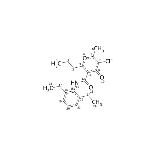 CCCc1oc(C)c(Cl)c(=O)c1C(=O)Nc1c(CC)cccc1CC